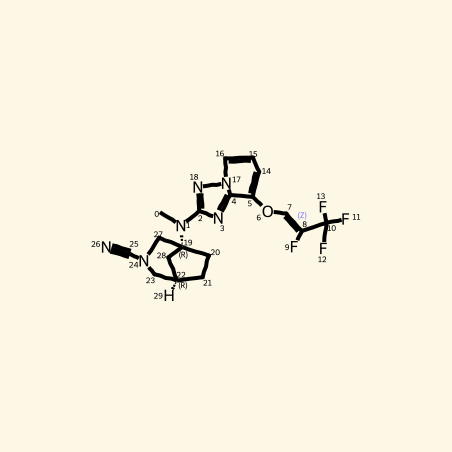 CN(c1nc2c(O/C=C(\F)C(F)(F)F)cccn2n1)[C@@]12CC[C@@H](CN(C#N)C1)C2